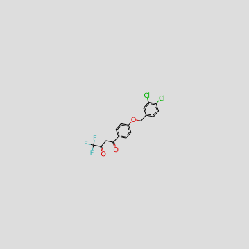 O=C(CC(=O)C(F)(F)F)c1ccc(OCc2ccc(Cl)c(Cl)c2)cc1